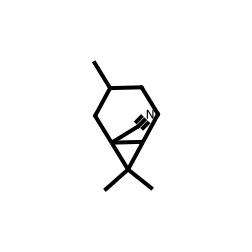 CC1CCC2C(C)(C)C2(C#N)C1